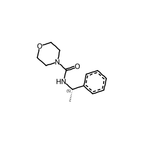 C[C@H](NC(=O)N1CCOCC1)c1ccccc1